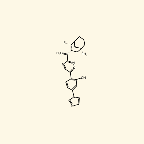 C=C(c1ncc(-c2ccc(-n3ccnc3)cc2O)nn1)[C@H]1C[C@]2(C)CCCC(N2)[C@H]1F